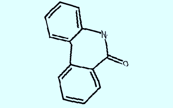 O=C1[N]c2ccccc2-c2ccccc21